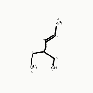 CCCC=CC(CO)CO